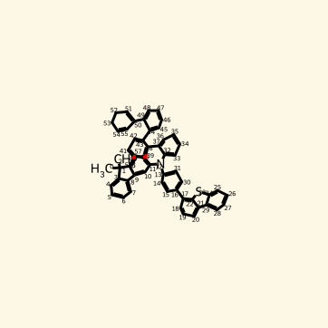 CC1(C)c2ccccc2-c2cc(N(c3ccc(-c4cccc5c4sc4ccccc45)cc3)c3ccccc3-c3ccccc3-c3ccccc3C3=CCCC=C3)ccc21